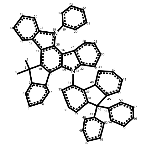 CC1(C)c2ccccc2-c2c1c1c3ccccc3n(-c3ccccc3)c1c1c3ccccc3n(-c3cccc4c3-c3ccccc3C4(c3ccccc3)c3ccccc3)c21